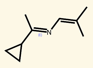 CC(C)=C/N=C(\C)C1CC1